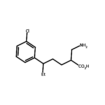 CCC(CCC(CN)C(=O)O)c1cccc(Cl)c1